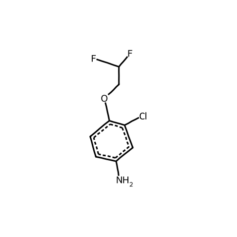 Nc1ccc(OCC(F)F)c(Cl)c1